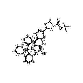 CC(C)(C)OC(=O)N1CCC(c2ncc3cc4c(cc3n2)c(Br)nn4C(c2ccccc2)(c2ccccc2)c2ccccc2)C1